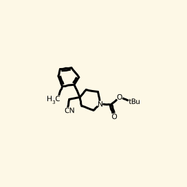 Cc1ccccc1C1(CC#N)CCN(C(=O)OC(C)(C)C)CC1